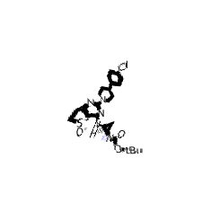 CC(C)(C)OC(=O)/N=C1\C[C@@H]1Nc1nc(N2CCC(c3ccc(Cl)cc3)CC2)nc2c1[S+]([O-])CC2